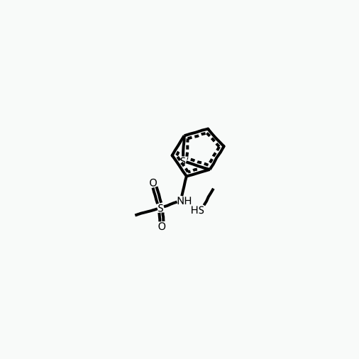 CS.CS(=O)(=O)Nc1cc2ccc1s2